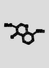 COc1cccc2c(=O)c(SC)coc12